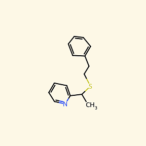 CC(SCCc1ccccc1)c1ccccn1